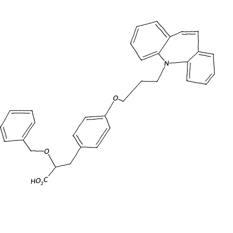 O=C(O)C(Cc1ccc(OCCCN2c3ccccc3C=Cc3ccccc32)cc1)OCc1ccccc1